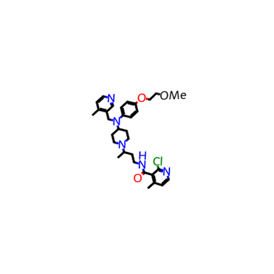 COCCOc1ccc(N(Cc2cnccc2C)C2CCN(C(C)CCNC(=O)c3c(C)ccnc3Cl)CC2)cc1